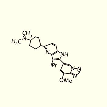 COc1cc(-c2[nH]c3ccc(C4CCC(N(C)C)CC4)nc3c2C(C)C)cn2ncnc12